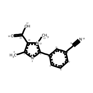 Cc1nc(-c2cccc(C#N)c2)n(C)c1C(=O)O